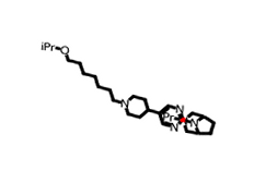 CC(C)OCCCCCCCN1CCC(c2cnc(N3C4CCC3CN(C(C)C)C4)nc2)CC1